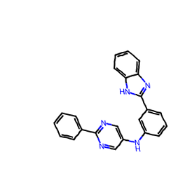 c1ccc(-c2ncc(Nc3cccc(-c4nc5ccccc5[nH]4)c3)cn2)cc1